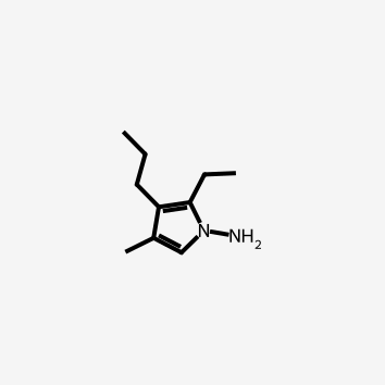 CCCc1c(C)cn(N)c1CC